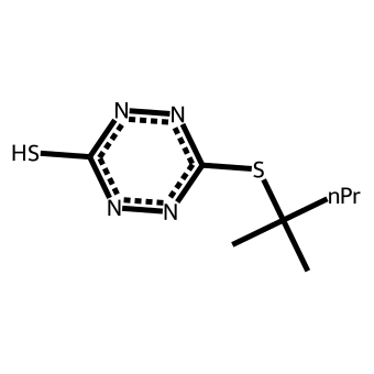 CCCC(C)(C)Sc1nnc(S)nn1